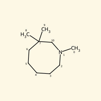 CN1CCCCCC(C)(C)C1